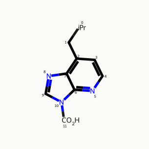 CC(C)Cc1ccnc2c1ncn2C(=O)O